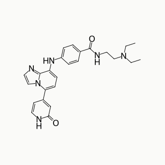 CCN(CC)CCNC(=O)c1ccc(Nc2ccc(-c3cc[nH]c(=O)c3)n3ccnc23)cc1